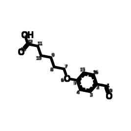 O=Cc1ccc(OCCCCCC(=O)O)cc1